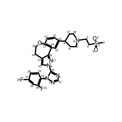 CS(=O)(=O)CCN1CCC(c2ccc3c(c2)-c2nn(-c4ncnn4-c4ccc(F)cc4F)cc2CCO3)CC1